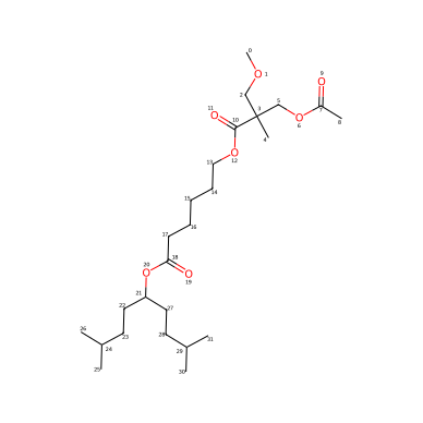 COCC(C)(COC(C)=O)C(=O)OCCCCCC(=O)OC(CCC(C)C)CCC(C)C